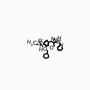 CC[S+]([O-])Nc1ccc(-c2n[nH]c(Nc3ccccn3)c2C=O)cc1OCC1CCCCC1